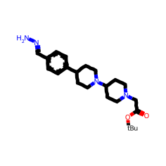 CC(C)(C)OC(=O)CN1CCC(N2CCC(c3ccc(C=NN)cc3)CC2)CC1